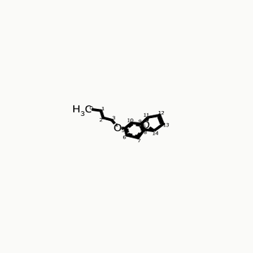 CCCCOc1ccc2c(c1)C1C=CC2O1